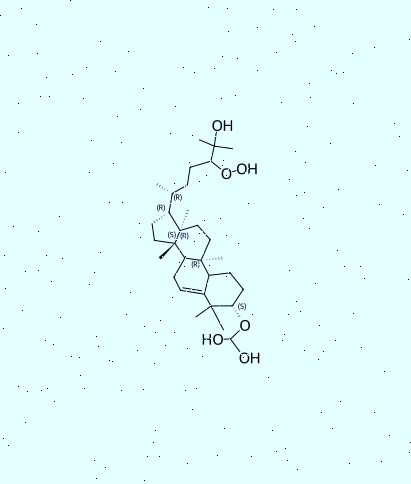 C[C@H](CCC(OO)C(C)(C)O)[C@H]1CC[C@@]2(C)C3CC=C4C(CC[C@H](OC(O)O)C4(C)C)[C@]3(C)CC[C@]12C